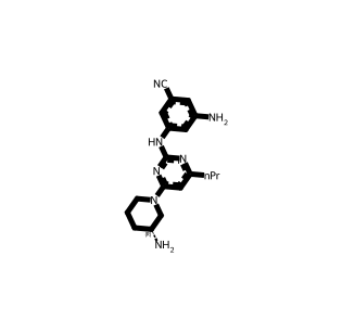 CCCc1cc(N2CCC[C@@H](N)C2)nc(Nc2cc(N)cc(C#N)c2)n1